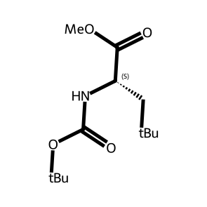 COC(=O)[C@H](CC(C)(C)C)NC(=O)OC(C)(C)C